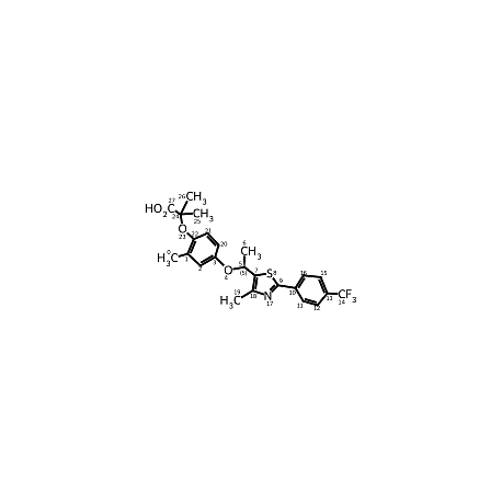 Cc1cc(O[C@@H](C)c2sc(-c3ccc(C(F)(F)F)cc3)nc2C)ccc1OC(C)(C)C(=O)O